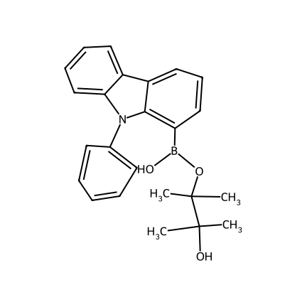 CC(C)(O)C(C)(C)OB(O)c1cccc2c3ccccc3n(-c3ccccc3)c12